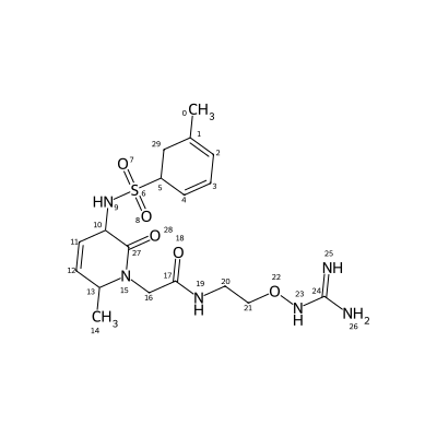 CC1=CC=CC(S(=O)(=O)NC2C=CC(C)N(CC(=O)NCCONC(=N)N)C2=O)C1